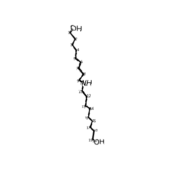 OCCCCCCCCCNCCCCCCCCCO